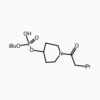 CC(C)COP(=O)(O)OC1CCN(C(=O)CC(C)C)CC1